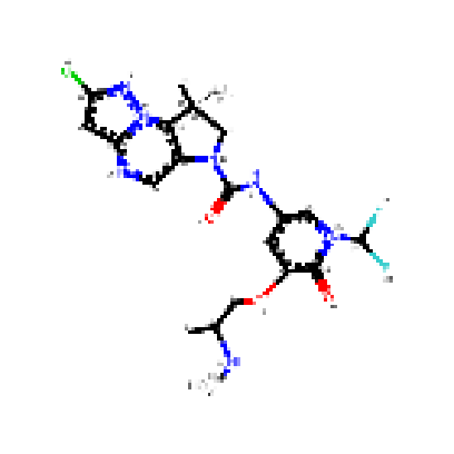 CC(COc1cc(NC(=O)N2C[C@@](C)(C(F)(F)F)c3c2cnc2cc(Cl)nn32)cn(C(F)F)c1=O)NC(=O)O